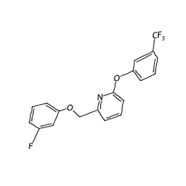 Fc1cccc(OCc2cccc(Oc3cccc(C(F)(F)F)c3)n2)c1